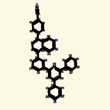 N#Cc1ccc(-c2ccc(-c3cccc(-c4cc(-c5ccccc5)cc(-c5ccccc5)n4)c3)c3ccccc23)cc1